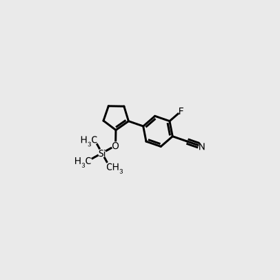 C[Si](C)(C)OC1=C(c2ccc(C#N)c(F)c2)CCC1